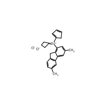 Cc1ccc2c(c1)-c1cc(C)c[c]([Zr+2]([C]3=CC=CC3)=[C]3CCC3)c1C2.[Cl-].[Cl-]